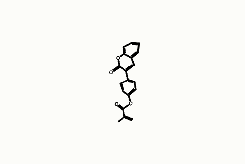 C=C(C)C(=O)Oc1ccc(-c2cc3ccccc3oc2=O)cc1